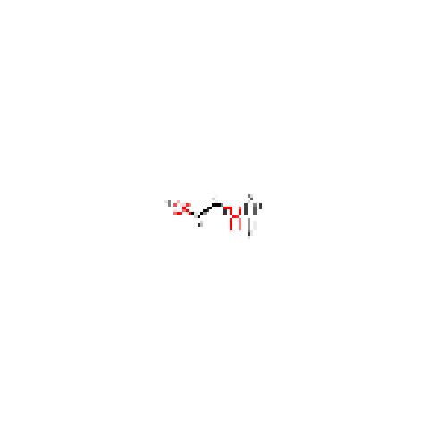 [Li+].[O-]CCO.[Ti]